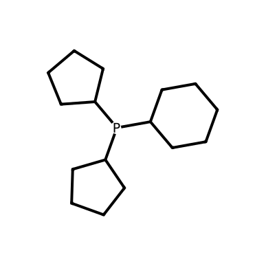 C1CCC(P(C2CCCC2)C2CCCC2)CC1